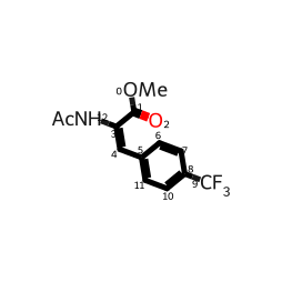 COC(=O)C(=Cc1ccc(C(F)(F)F)cc1)NC(C)=O